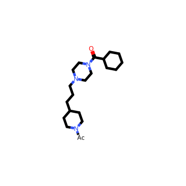 CC(=O)N1CCC(CCCN2CCN(C(=O)C3CCCCC3)CC2)CC1